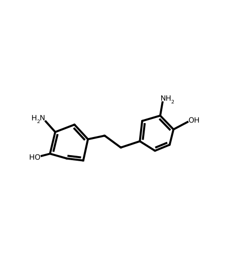 Nc1cc(CCc2ccc(O)c(N)c2)ccc1O